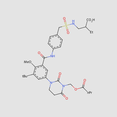 CCCC(=O)OCN1C(=O)CCN(c2cc(C(=O)Nc3ccc(CS(=O)(=O)NCC(CC)C(=O)O)cc3)c(OC)c(C(C)(C)C)c2)C1=O